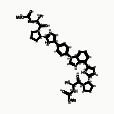 COC(=O)N[C@H](C(=O)N1CCC[C@H]1c1ncc(-c2ccc(-n3cnc4c(-c5cnc([C@@H]6CCCN6C(=O)[C@@H](NC(=O)OC)C(C)C)[nH]5)cccc43)cc2)[nH]1)C(C)C